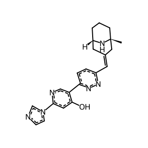 C[C@@]12CCC[C@@H](C/C(=C\c3ccc(-c4cnc(-n5ccnc5)cc4O)nn3)C1)N2